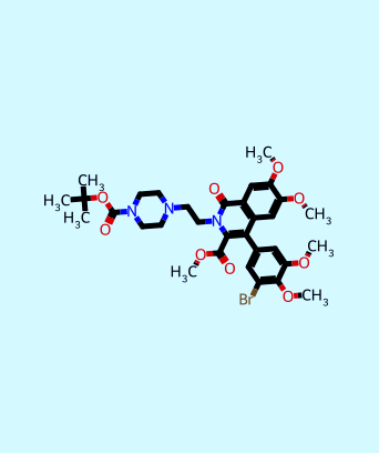 COC(=O)c1c(-c2cc(Br)c(OC)c(OC)c2)c2cc(OC)c(OC)cc2c(=O)n1CCN1CCN(C(=O)OC(C)(C)C)CC1